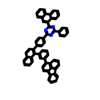 c1ccc(-c2nc(-c3ccc(-c4ccc5ccccc5c4-c4cccc(-c5ccc6c7c(cccc57)-c5ccccc5-6)c4)cc3)nc(-c3cc4ccccc4c4ccccc34)n2)cc1